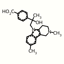 Cc1ccc2c(c1)c1c(n2CC(C)(O)c2ccc(C(=O)O)cc2)CCN(C)C1